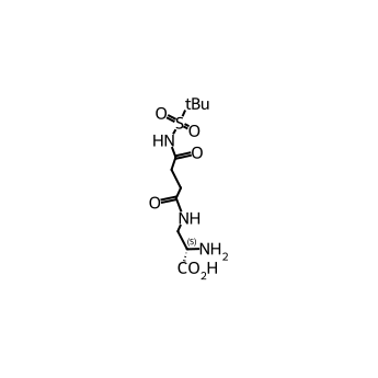 CC(C)(C)S(=O)(=O)NC(=O)CCC(=O)NC[C@H](N)C(=O)O